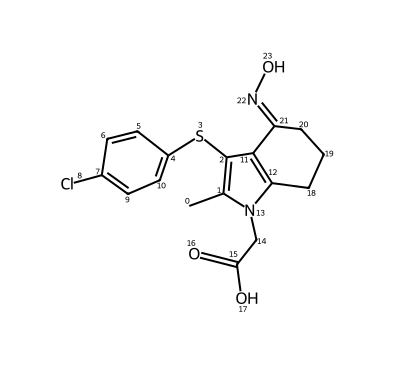 Cc1c(Sc2ccc(Cl)cc2)c2c(n1CC(=O)O)CCCC2=NO